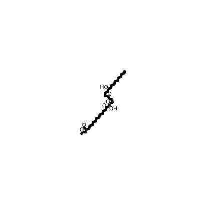 CCCCCCCCCCC(O)C1CCC(C2CCC(C(O)C(=O)CCCCCCCCCCCC3CC(C)OC3=O)O2)O1